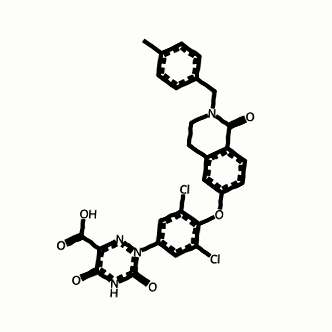 Cc1ccc(CN2CCc3cc(Oc4c(Cl)cc(-n5nc(C(=O)O)c(=O)[nH]c5=O)cc4Cl)ccc3C2=O)cc1